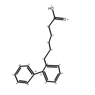 O=C(O)CCCCCc1ccccc1-c1ccccc1